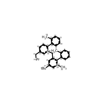 Cc1ccccc1-c1c(C[n+]2cc(CC(C)C)ccc2-c2ccccc2C)cc(C(C)(C)C)c[n+]1C